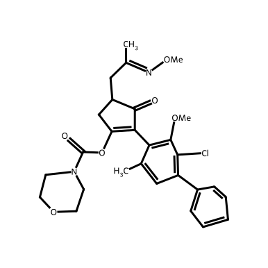 CON=C(C)CC1CC(OC(=O)N2CCOCC2)=C(c2c(C)cc(-c3ccccc3)c(Cl)c2OC)C1=O